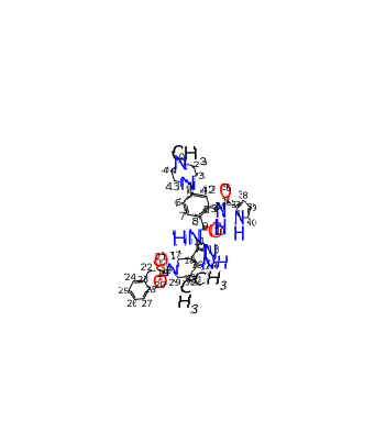 CN1CCN(c2ccc(C(=O)Nc3n[nH]c4c3CN(S(=O)(=O)Cc3ccccc3)CC4(C)C)c(NC(=O)c3ccc[nH]3)c2)CC1